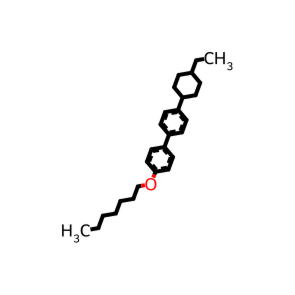 CCCCCCCOc1ccc(-c2ccc(C3CCC(CC)CC3)cc2)cc1